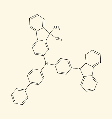 CC1(C)c2ccccc2-c2ccc(N(c3ccc(-c4ccccc4)cc3)c3ccc(-n4c5ccccc5c5ccccc54)cc3)cc21